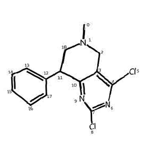 CN1Cc2c(Cl)nc(Cl)nc2C(c2ccccc2)C1